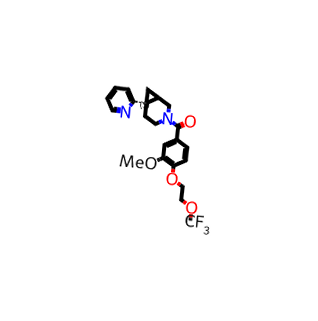 COc1cc(C(=O)N2CC[C@@]3(c4ccccn4)CC3C2)ccc1OCCOC(F)(F)F